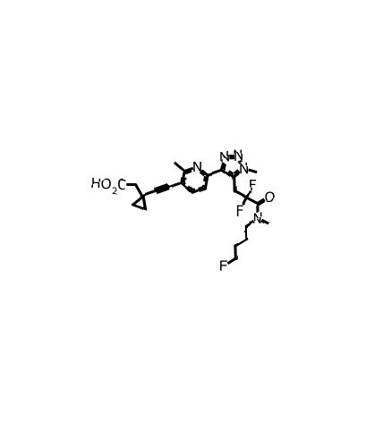 Cc1nc(-c2nnn(C)c2CC(F)(F)C(=O)N(C)CCCCF)ccc1C#CC1(CC(=O)O)CC1